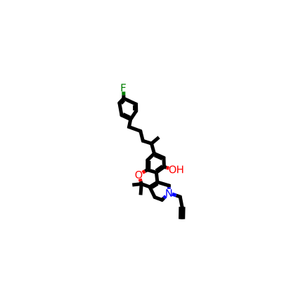 C#CCN1CCC2=C(C1)c1c(O)cc(C(C)CCCc3ccc(F)cc3)cc1OC2(C)C